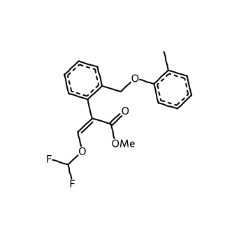 COC(=O)C(=COC(F)F)c1ccccc1COc1ccccc1C